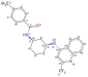 Cc1ccc(C(=O)N[C@@H]2CCC[C@H](Nc3cc(C(F)(F)F)nc4ccccc34)C2)cc1